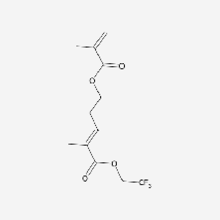 C=C(C)C(=O)OCCC=C(C)C(=O)OCC(F)(F)F